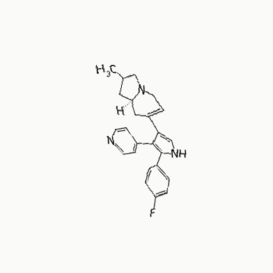 CC1C[C@@H]2CC(c3c[nH]c(-c4ccc(F)cc4)c3-c3ccncc3)=CCN2C1